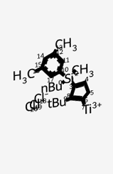 CCCC[Si](C)(C1=CC[C]([Ti+3])=C1C(C)(C)C)c1cc(C)cc(C)c1.[Cl-].[Cl-].[Cl-]